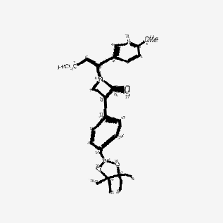 COc1ccc(C(CC(=O)O)N2CC(c3ccc(B4OC(C)(C)C(C)(C)O4)cc3)C2=O)cn1